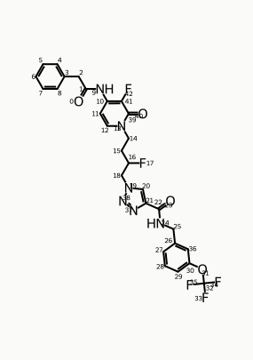 O=C(Cc1ccccc1)Nc1ccn(CCC(F)Cn2cc(C(=O)NCc3cccc(OC(F)(F)F)c3)nn2)c(=O)c1F